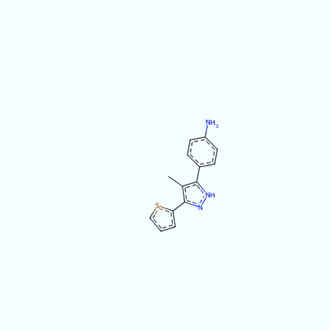 Cc1c(-c2cccs2)n[nH]c1-c1ccc(N)cc1